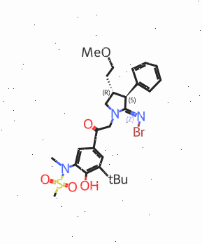 COCC[C@H]1CN(CC(=O)c2cc(N(C)S(C)(=O)=O)c(O)c(C(C)(C)C)c2)/C(=N\Br)[C@@H]1c1ccccc1